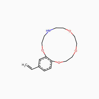 C=Cc1ccc2c(c1)OCCNCCOCCOCCO2